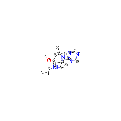 CCCNC1C(OC)CC(C)(C)N(c2ncncn2)C1(C)C